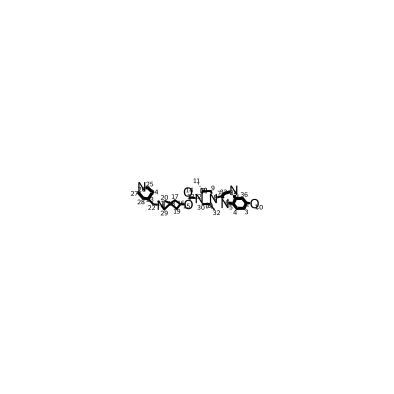 COc1ccc2nc(N3C[C@@H](C)N(C(=O)OC4CC5(C4)CN(Cc4ccncc4)C5)C[C@@H]3C)cnc2c1